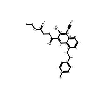 CCOC(=O)CCC(=O)c1nc2c(CCc3ccc(C)cc3)cccc2c(C#N)c1O